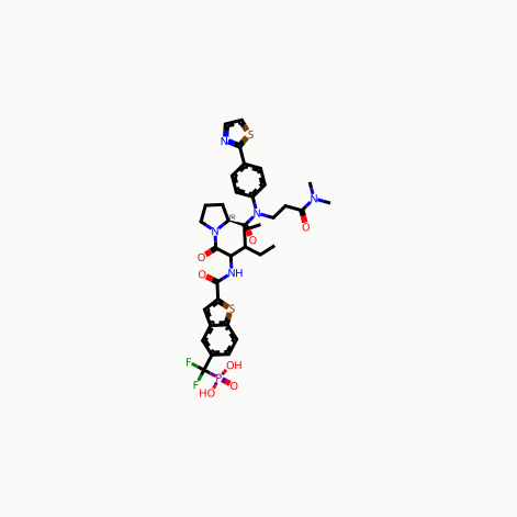 CCC(CC)C(NC(=O)c1cc2cc(C(F)(F)P(=O)(O)O)ccc2s1)C(=O)N1CCC[C@H]1C(=O)N(CCC(=O)N(C)C)c1ccc(-c2nccs2)cc1